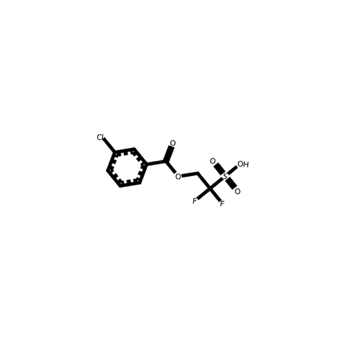 O=C(OCC(F)(F)S(=O)(=O)O)c1cccc(Cl)c1